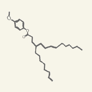 CCCCCCCCCCC(CCCCCCCC)CCC(=O)Oc1ccc(OC)cc1